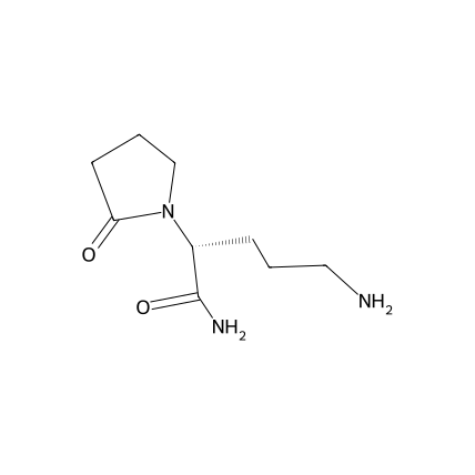 NCCC[C@H](C(N)=O)N1CCCC1=O